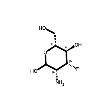 N[C@@H]1C(O)O[C@H](CO)[C@@H](O)[C@@H]1F